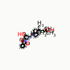 C[C@H](CCCC(C)(C)O)[C@H]1CC[C@H]2/C(=C/C=C3\C[C@@H](O)C[C@@H](N4C(=O)c5ccccc5C4=O)C3)CCC[C@]12C